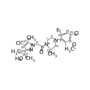 COc1cc(N2CCN(C(=O)Cn3nc(C(C)(C)O)c(Cl)c3C)[C@@H](C)C2)c(F)cc1Cl